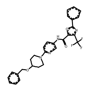 O=C(Nc1ccc(N2CCC(OCc3ccccc3)CC2)nc1)c1oc(-c2ccccc2)nc1C(F)(F)F